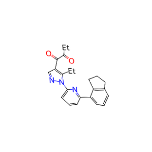 CCC(=O)C(=O)c1cnn(-c2cccc(-c3cccc4c3CCC4)n2)c1CC